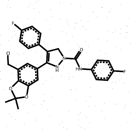 CC1(C)Oc2cc(C3=C(c4ccc(F)cc4)CN(C(=O)Nc4ccc(F)cc4)N3)cc(CCl)c2O1